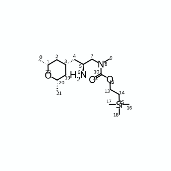 C[C@@H]1C[C@H](C[C@H](N)CN(C)C(=O)OCC[Si](C)(C)C)C[C@H](C)O1